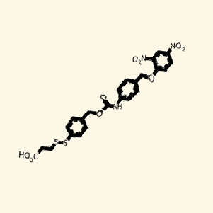 O=C(O)CCSSc1ccc(COC(=O)Nc2ccc(COc3ccc([N+](=O)[O-])cc3[N+](=O)[O-])cc2)cc1